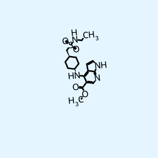 CCNS(=O)(=O)C[C@H]1CC[C@H](Nc2c(C(=O)OC)cnc3[nH]ccc23)CC1